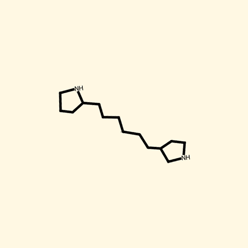 [CH](CCCC1CCCN1)CCC1CCNC1